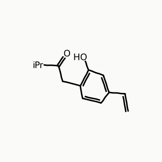 C=Cc1ccc(CC(=O)C(C)C)c(O)c1